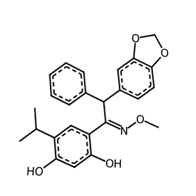 CO/N=C(/c1cc(C(C)C)c(O)cc1O)C(c1ccccc1)c1ccc2c(c1)OCO2